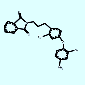 N#Cc1cc(N)ccc1Oc1ccc(CCCN2C(=O)c3ccccc3C2=O)c(C(F)(F)F)c1